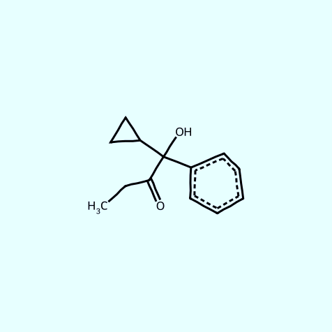 CCC(=O)C(O)(c1ccccc1)C1CC1